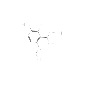 CCNc1ccc(N)c(C)c1C(C)OC